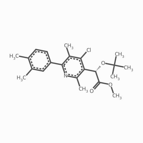 COC(=O)[C@@H](OC(C)(C)C)c1c(C)nc(-c2ccc(C)c(C)c2)c(C)c1Cl